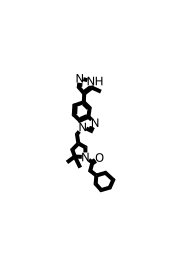 Cc1[nH]ncc1-c1ccc2c(c1)ncn2CC1CN(C(=O)CC2CCCCC2)C(C)(C)C1